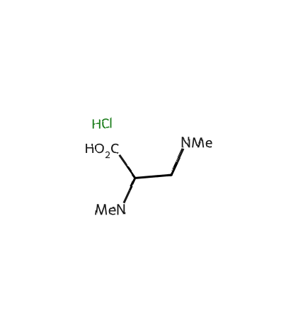 CNCC(NC)C(=O)O.Cl